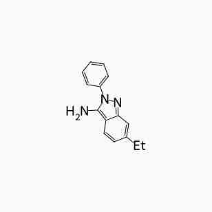 CCc1ccc2c(N)n(-c3ccccc3)nc2c1